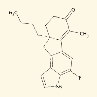 CCCCC12CCC(=O)C(C)=C1c1cc(F)c3[nH]ccc3c1C2